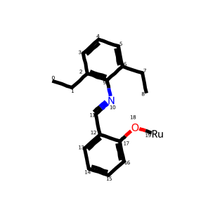 CCc1cccc(CC)c1N=Cc1ccccc1[O][Ru]